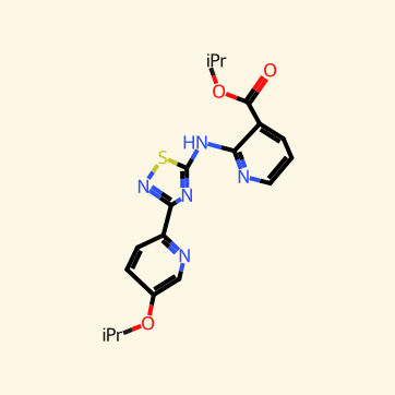 CC(C)OC(=O)c1cccnc1Nc1nc(-c2ccc(OC(C)C)cn2)ns1